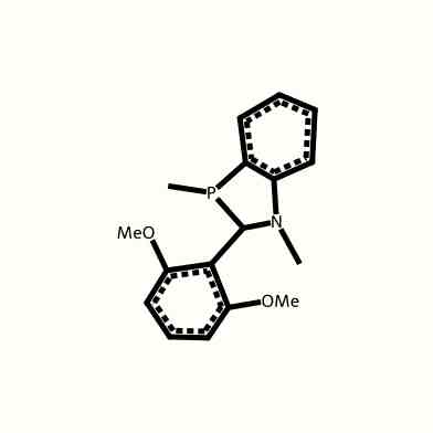 COc1cccc(OC)c1C1N(C)c2ccccc2P1C